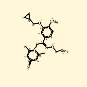 COc1ccc(/C(Cn2c(C)cc(=O)cc2C)=N\OCSC)cc1OCC1CC1